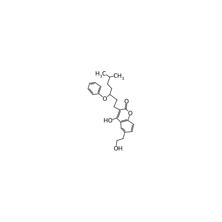 CC(C)CCC(CCc1c(O)c2cc(CCO)ccc2oc1=O)Oc1ccccc1